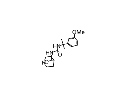 COc1cccc(C(C)(C)NC(=O)NC2CN3CCC2CC3)c1